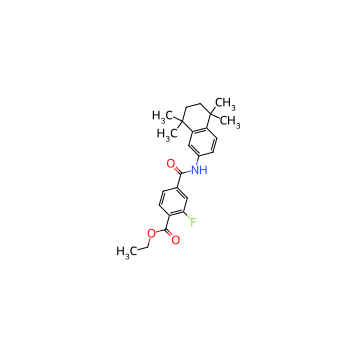 CCOC(=O)c1ccc(C(=O)Nc2ccc3c(c2)C(C)(C)CCC3(C)C)cc1F